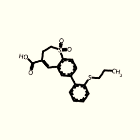 CCCSc1ccccc1-c1ccc2c(c1)C=C(C(=O)O)CCS2(=O)=O